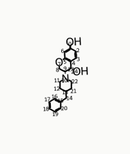 Oc1ccc2c(c1)OC[C@@H](N1CCC(Cc3ccccc3)CC1)[C@H]2O